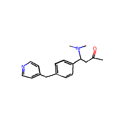 CC(=O)CC(c1ccc(Cc2ccncc2)cc1)N(C)C